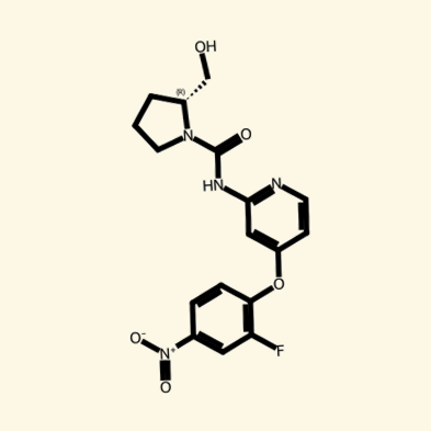 O=C(Nc1cc(Oc2ccc([N+](=O)[O-])cc2F)ccn1)N1CCC[C@@H]1CO